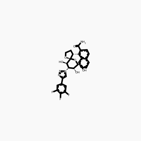 NC(=O)c1ccc2ccccc2c1[C@H]1CCO[C@]12O[C@H](CO)[C@H](O)[C@H](n1cc(-c3cc(F)c(F)c(F)c3)nn1)[C@H]2O